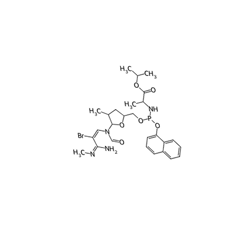 C/N=C(N)\C(Br)=C/N(C=O)C1OC(COP(NC(C)C(=O)OC(C)C)Oc2cccc3ccccc23)CC1C